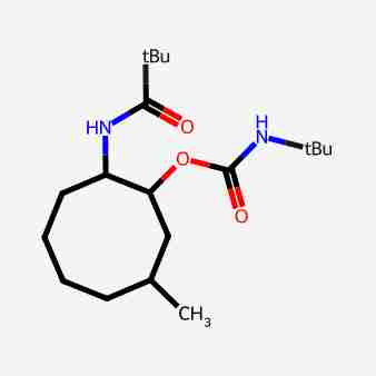 CC1CCCCC(NC(=O)C(C)(C)C)C(OC(=O)NC(C)(C)C)C1